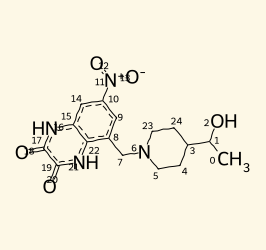 CC(O)C1CCN(Cc2cc([N+](=O)[O-])cc3[nH]c(=O)c(=O)[nH]c23)CC1